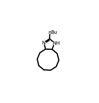 CCCCC1=NC2CCCCCCCCC2N1